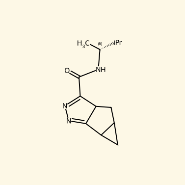 CC(C)[C@@H](C)NC(=O)C1=NN=C2C1CC1CC21